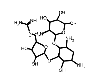 N=C(N)NCC1OC(OC2C(O)C(N)CC(N)C2OC2OC(O)C(O)C(O)C2N)C(O)C1O